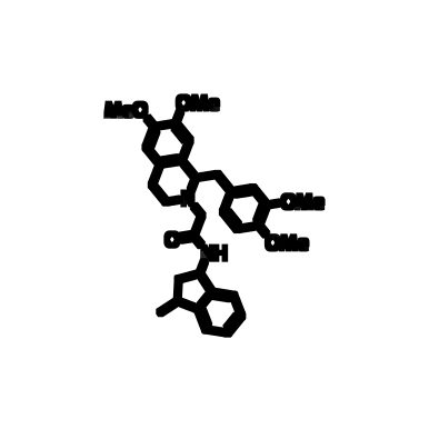 COc1ccc(CC2c3cc(OC)c(OC)cc3CCN2CC(=O)NC2CC(C)c3ccccc32)cc1OC